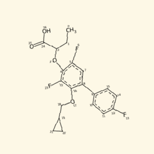 CCC(Oc1c(F)cc(-c2ccc(F)cc2)c(OCC2CC2)c1F)C(=O)O